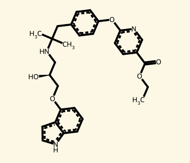 CCOC(=O)c1ccc(Oc2ccc(CC(C)(C)NC[C@H](O)COc3cccc4[nH]ccc34)cc2)nc1